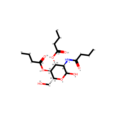 CCCC(=O)N[C@H]1C(O)O[C@H](CO)[C@@H](OC(=O)CCC)[C@@H]1OC(=O)CCC